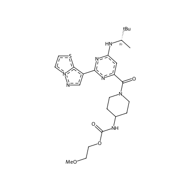 COCCOC(=O)NC1CCN(C(=O)c2cc(N[C@@H](C)C(C)(C)C)nc(-c3cnn4ccsc34)n2)CC1